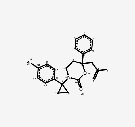 C=C(C)CC1(c2ccccc2)CCN(C2(c3ccc(Br)cc3)CC2)C(=O)O1